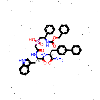 NC(=O)[C@H](Cc1ccc(-c2ccccc2)cc1)NC(=O)[C@H](Cc1c[nH]c2ccccc12)NC(=O)CP(=O)(O)CC(NC(=O)OCc1ccccc1)c1ccccc1